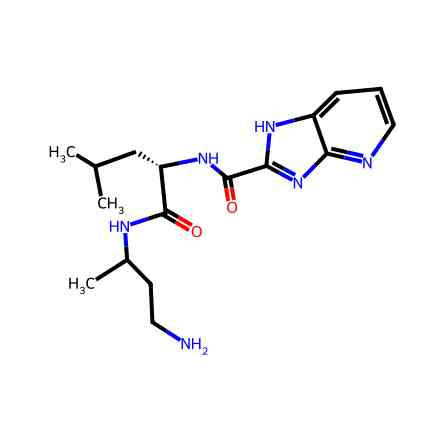 CC(C)C[C@H](NC(=O)c1nc2ncccc2[nH]1)C(=O)NC(C)CCN